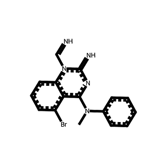 CN(c1ccccc1)c1nc(=N)n(C=N)c2cccc(Br)c12